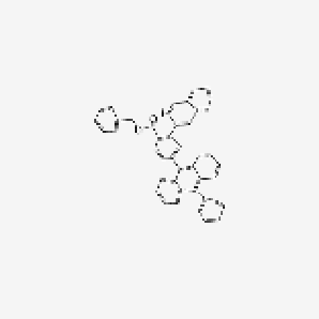 O=C(OCc1ccccc1)c1ccc(-c2c3ccccc3c(-c3ccccc3)c3ccccc23)cc1-c1cc2ccccc2cc1I